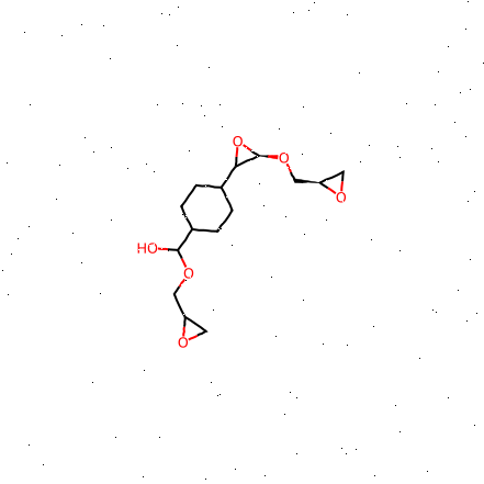 OC(OCC1CO1)C1CCC(C2O[C@H]2OC[C@H]2CO2)CC1